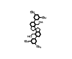 CC(C)(C)c1cc(-c2ccc3c(c2CO)C2(CC3)CCc3ccc(-c4cc(C(C)(C)C)cc(C(C)(C)C)c4)c(CO)c32)cc(C(C)(C)C)c1